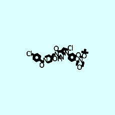 CC(C)(C)OC(=O)N1CCOC[C@@H]1c1ccc(-n2c(Cl)cc3c(=O)n(CC4(O)CCN(C(=O)c5ccc(Cl)cc5)CC4)cnc32)cc1